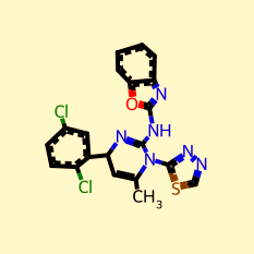 CC1=CC(c2cc(Cl)ccc2Cl)N=C(Nc2nc3ccccc3o2)N1c1nncs1